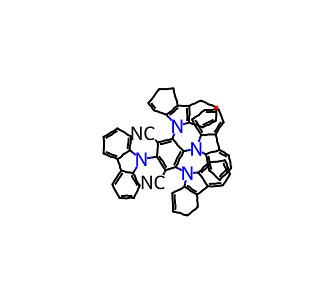 N#Cc1c(-n2c3c(c4c2C=CCC4)CCC=C3)c(-n2c3ccccc3c3ccccc32)c(-n2c3c(c4ccccc42)CCC=C3)c(C#N)c1-n1c2ccccc2c2ccccc21